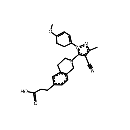 COC1=CC=C(n2nc(C)c(C#N)c2N2CCc3cc(CCC(=O)O)ccc3C2)CC1